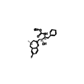 C[C@H]1Cc2cc(F)ccc2SN(C[C@@H](O)[C@H](Cc2ccccc2)NC(=O)OC(C)(C)C)C1